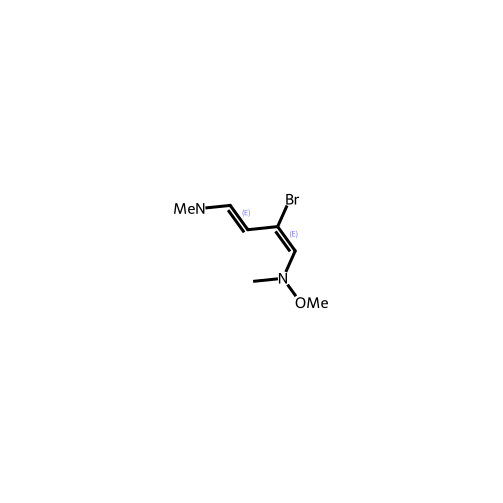 CN/C=C/C(Br)=C\N(C)OC